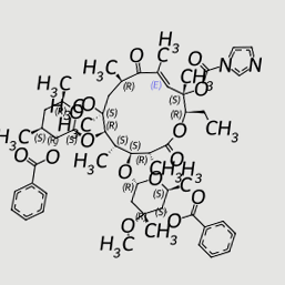 CC[C@H]1OC(=O)[C@H](C)[C@@H](O[C@H]2C[C@@](C)(OC)[C@@H](OC(=O)c3ccccc3)[C@H](C)O2)[C@H](C)[C@@H](O[C@@H]2O[C@H](C)C[C@H](C)[C@H]2OC(=O)c2ccccc2)[C@@](C)(OC)C[C@@H](C)C(=O)/C(C)=C/[C@]1(C)OC(=O)n1ccnc1